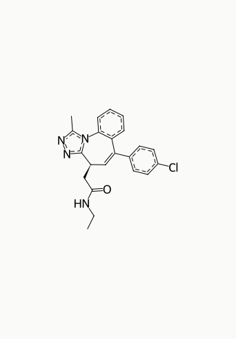 CCNC(=O)C[C@@H]1C=C(c2ccc(Cl)cc2)c2ccccc2-n2c(C)nnc21